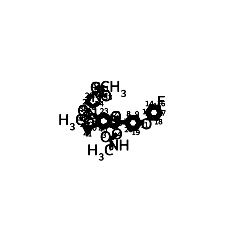 CNC(=O)Oc1c(-c2ccc(Oc3ccc(F)cc3)cc2)oc2cc(N(C3CCN(S(C)(=O)=O)C3)S(C)(=O)=O)c(C3CC3)cc12